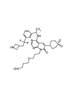 CC(Nc1ncnc2c1cc(C1CCS(=O)(=O)CC1)c(=O)n2CCCOCCCC=O)c1cccc(C(F)(F)CC2CNC2)c1